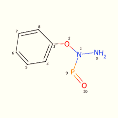 NN(Oc1ccccc1)P=O